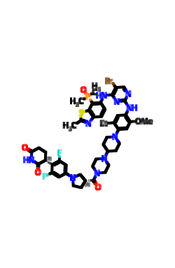 CCc1cc(Nc2ncc(Br)c(Nc3ccc4nc(C)sc4c3P(C)(C)=O)n2)c(OC)cc1N1CCC(N2CCN(C(=O)[C@@H]3CCN(c4cc(F)c([C@H]5CCC(=O)NC5=O)c(F)c4)C3)CC2)CC1